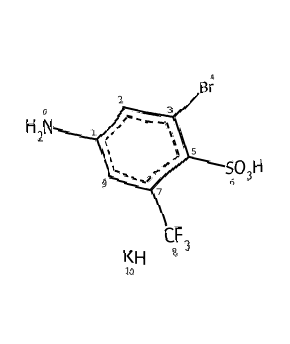 Nc1cc(Br)c(S(=O)(=O)O)c(C(F)(F)F)c1.[KH]